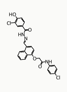 O=C(COc1ccc(/C=N/NC(=O)c2ccc(O)c(Cl)c2)c2ccccc12)Nc1ccc(Cl)cc1